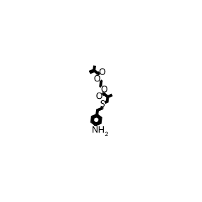 C=C(C)C(=O)OCCOC(=O)C(C)CSCCc1ccc(N)cc1